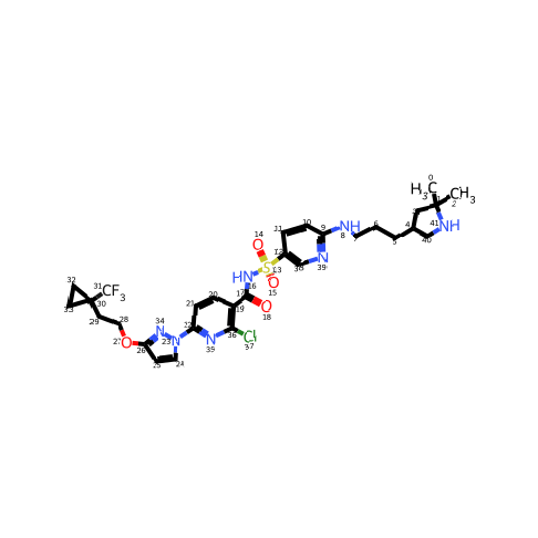 CC1(C)CC(CCCNc2ccc(S(=O)(=O)NC(=O)c3ccc(-n4ccc(OCCC5(C(F)(F)F)CC5)n4)nc3Cl)cn2)CN1